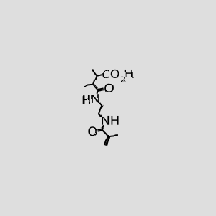 C=C(C)C(=O)NCCNC(=O)C(C)C(C)C(=O)O